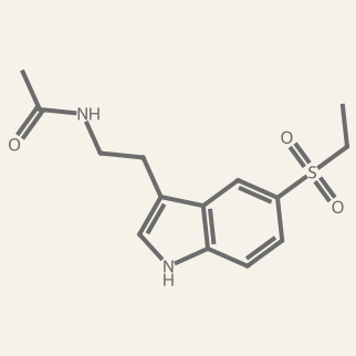 CCS(=O)(=O)c1ccc2[nH]cc(CCNC(C)=O)c2c1